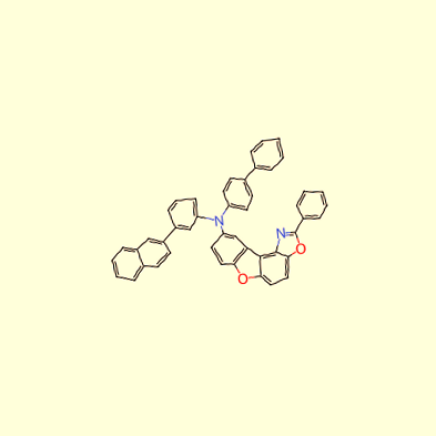 c1ccc(-c2ccc(N(c3cccc(-c4ccc5ccccc5c4)c3)c3ccc4oc5ccc6oc(-c7ccccc7)nc6c5c4c3)cc2)cc1